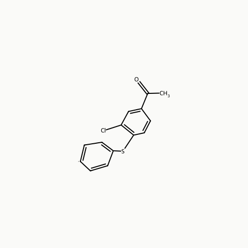 CC(=O)c1ccc(Sc2cc[c]cc2)c(Cl)c1